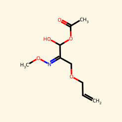 C=CCOCC(=NOC)C(O)OC(C)=O